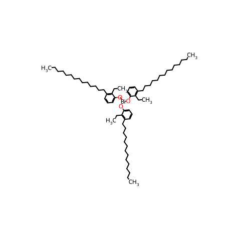 CCCCCCCCCCCCCCc1cccc([O][Bi]([O]c2cccc(CCCCCCCCCCCCCC)c2CC)[O]c2cccc(CCCCCCCCCCCCCC)c2CC)c1CC